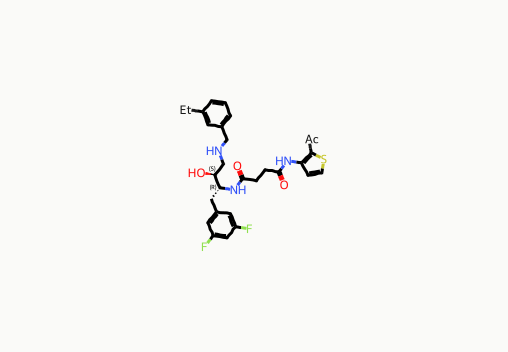 CCc1cccc(CNC[C@H](O)[C@@H](Cc2cc(F)cc(F)c2)NC(=O)CCC(=O)Nc2ccsc2C(C)=O)c1